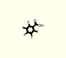 O=C(O)c1c(F)c(F)c(F)c(I)c1F